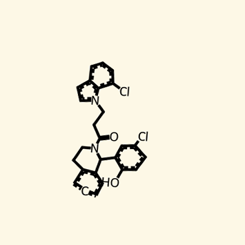 O=C(CCn1ccc2cccc(Cl)c21)N1CCc2ccccc2C1c1cc(Cl)ccc1O